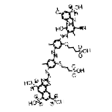 COc1cc(S(=O)(=O)O)c2nc3c(C#N)c(C)c(N=Nc4cc(C)c(N=Nc5cc(C)c(N=Nc6nc7c(S(=O)(=O)O)cc8c(S(=O)(=O)O)cc(S(=O)(=O)O)cc8c7s6)cc5SCCCS(=O)(=O)O)cc4OCCCS(=O)(=O)O)c(O)n3c2c1